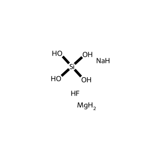 F.O[Si](O)(O)O.[MgH2].[NaH]